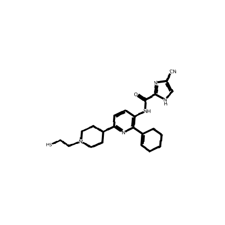 N#Cc1c[nH]c(C(=O)Nc2ccc(C3CCN(CCS)CC3)nc2C2=CCCCC2)n1